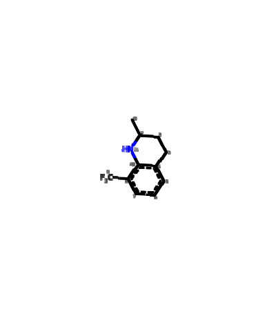 CC1CCc2cccc(C(F)(F)F)c2N1